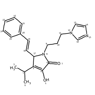 CC(C)C1=C(O)C(=O)N(CCCn2ccnc2)C1C=Cc1ccccc1